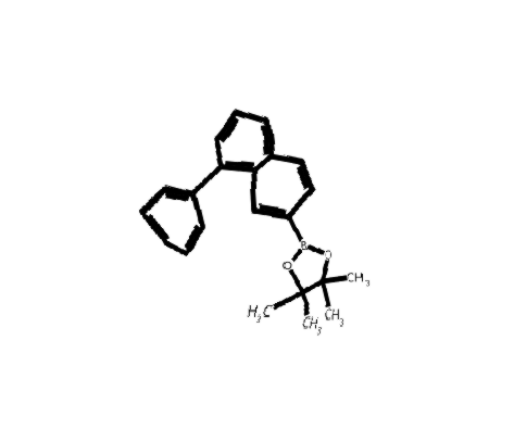 CC1(C)OB(c2ccc3cccc(-c4ccccc4)c3c2)OC1(C)C